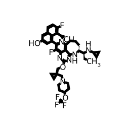 C#Cc1c(F)ccc2cc(O)cc(-c3nc4c5c(nc(OCC6(CN7CCC(OC(F)(F)F)CC7)CC6)nc5c3F)N[C@@H]([C@H](CC)NC3CC3)CCC4)c12